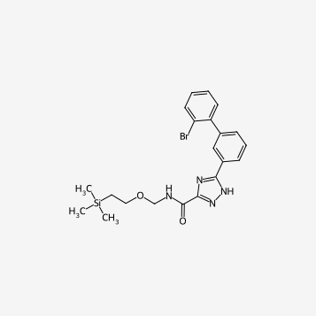 C[Si](C)(C)CCOCNC(=O)c1n[nH]c(-c2cccc(-c3ccccc3Br)c2)n1